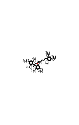 [2H]Oc1cc(O[2H])c(CCCCCCCC(C)(c2c(O[2H])cc(O[2H])cc2O[2H])c2c(O[2H])cc(O[2H])cc2O[2H])c(O[2H])c1